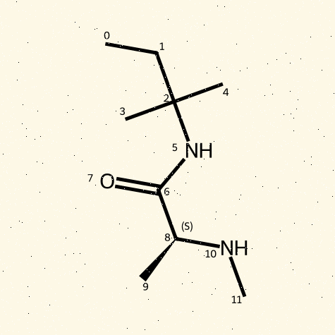 CCC(C)(C)NC(=O)[C@H](C)NC